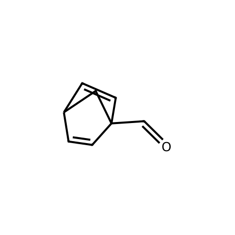 O=CC12C=CC(C=C1)C2